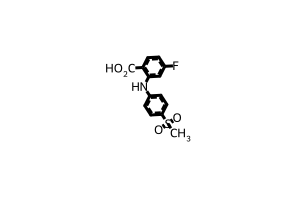 CS(=O)(=O)c1ccc(Nc2cc(F)ccc2C(=O)O)cc1